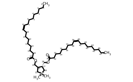 CCCCCCCC/C=C\CCCCCCCC(=O)OCC1C[N+](C)(C)C[C@H]1COC(=O)CCCCCCC/C=C\CCCCCCCC